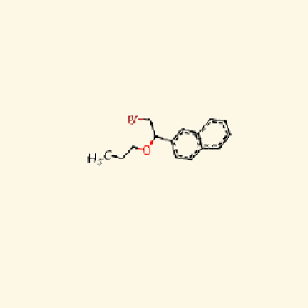 CCCOC(CBr)c1ccc2ccccc2c1